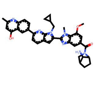 COc1cc(C(=O)N2CC3CCC2C3N)cc2nc(-c3cc4ccc(-c5ccc6nc(C)cc(O)c6c5)nc4n3CC3CC3)n(C)c12